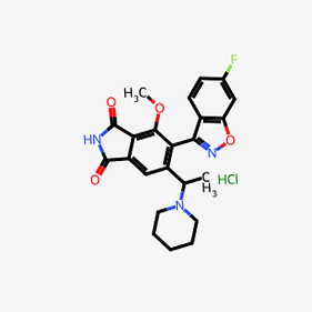 COc1c2c(cc(C(C)N3CCCCC3)c1-c1noc3cc(F)ccc13)C(=O)NC2=O.Cl